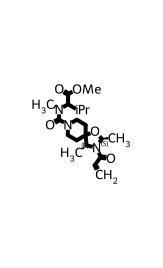 C=CC(=O)N1[C@H](C)OC2(CCN(C(=O)N(C)C(C(=O)OC)C(C)C)CC2)[C@H]1C